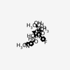 Cn1cc2cc(C(=O)NC[C@](O)(c3cc4c(c(-c5ccc(F)cc5)n3)OC[C@]4(C)C(=O)NCC(C)(C)O)C3CC3)ccc2n1